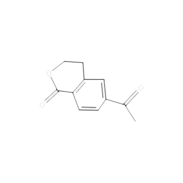 CC(=O)c1ccc2c(c1)CCOC2=O